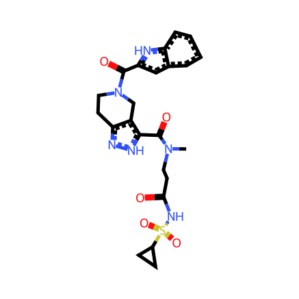 CN(CCC(=O)NS(=O)(=O)C1CC1)C(=O)c1[nH]nc2c1CN(C(=O)c1cc3ccccc3[nH]1)CC2